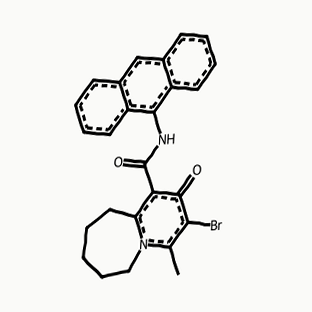 Cc1c(Br)c(=O)c(C(=O)Nc2c3ccccc3cc3ccccc23)c2n1CCCCC2